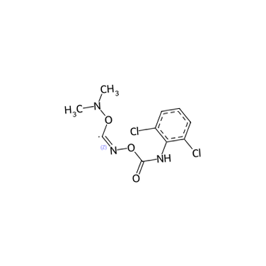 CN(C)O/[C]=N\OC(=O)Nc1c(Cl)cccc1Cl